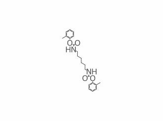 Cc1ccccc1OC(=O)NCCCCCCNC(=O)Oc1ccccc1C